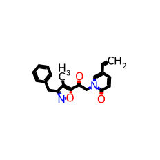 C=Cc1ccc(=O)n(CC(=O)c2onc(Cc3ccccc3)c2C)c1